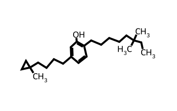 CCC(C)(C)CCCCCc1ccc(CCCCC2(C)CC2)cc1O